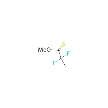 COC(=S)C(C)(F)F